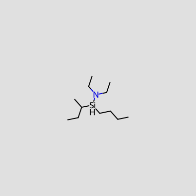 CCCC[SiH](C(C)CC)N(CC)CC